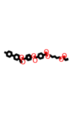 C#CC1(OC(=O)c2ccc(OC(=O)C3CCC(C(=O)OCCCCCOC(=O)C=C)CC3)cc2)CCC(C2CCC(C)CC2)CC1